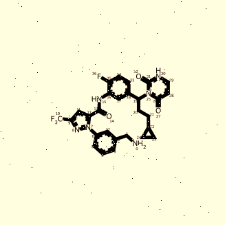 NCc1cccc(-n2nc(C(F)(F)F)cc2C(=O)Nc2cc(C(CCC3CC3)n3c(=O)cc[nH]c3=O)ccc2F)c1